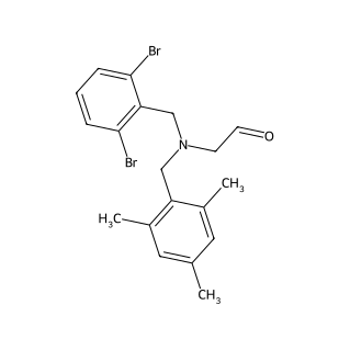 Cc1cc(C)c(CN(CC=O)Cc2c(Br)cccc2Br)c(C)c1